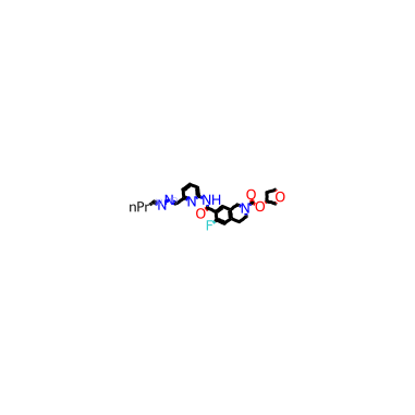 CCC/C=N/N=C/c1cccc(NC(=O)c2cc3c(cc2F)CCN(C(=O)OC2CCOC2)C3)n1